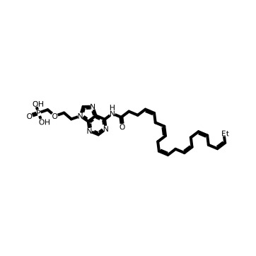 CC/C=C\C/C=C\C/C=C\C/C=C\C/C=C\C/C=C\CCC(=O)Nc1ncnc2c1ncn2CCOCP(=O)(O)O